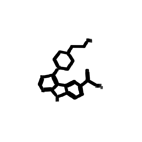 NC(=O)c1ccc2[nH]c3ncnc(N4CCC(CCO)CC4)c3c2c1